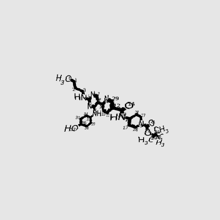 CCCCNc1ncc(-c2ccc(C(=O)NC3CCN(C(=O)OC(C)(C)C)CC3)cn2)c(NC2CCC(O)CC2)n1